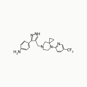 Nc1ccc(-c2n[nH]cc2CN2CCN(c3ccc(C(F)(F)F)cn3)C3(CC3)C2)cc1